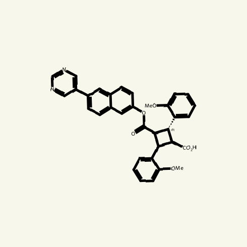 COc1ccccc1C1C(C(=O)O)[C@@H](c2ccccc2OC)C1C(=O)Oc1ccc2cc(-c3cncnc3)ccc2c1